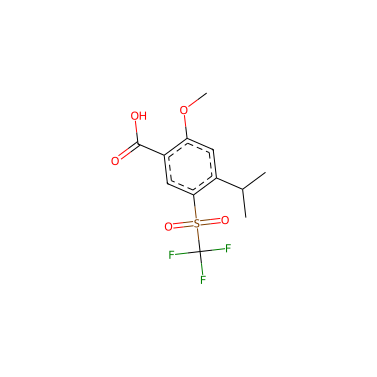 COc1cc(C(C)C)c(S(=O)(=O)C(F)(F)F)cc1C(=O)O